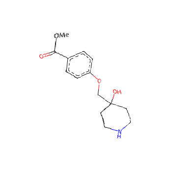 COC(=O)c1ccc(OCC2(O)CCNCC2)cc1